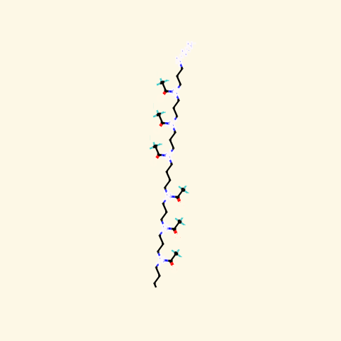 CCCCN(CCCN(CCCN(CCCCN(CCCN(CCCN(CCCN=[N+]=[N-])C(=O)C(F)(F)F)C(=O)C(F)(F)F)C(=O)C(F)(F)F)C(=O)C(F)(F)F)C(=O)C(F)(F)F)C(=O)C(F)(F)F